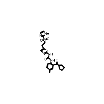 Cc1ccc(NC(=O)Nc2ncc(CCS(=O)(=O)c3nccn3C)s2)c(C(=O)C2CCCC2)c1